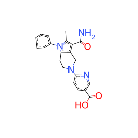 Cc1c(C(N)=O)c2c(n1-c1ccccc1)CCN(c1ccc(C(=O)O)cn1)C2